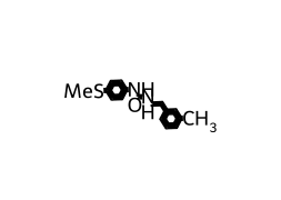 CSc1ccc(NC(=O)NCCc2cccc(C)c2)cc1